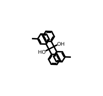 Cc1cccc(C(O)(c2ccccc2)C(O)(c2ccccc2)c2cccc(C)c2)c1